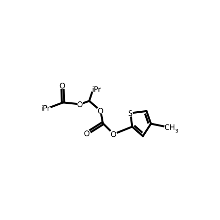 Cc1csc(OC(=O)OC(OC(=O)C(C)C)C(C)C)c1